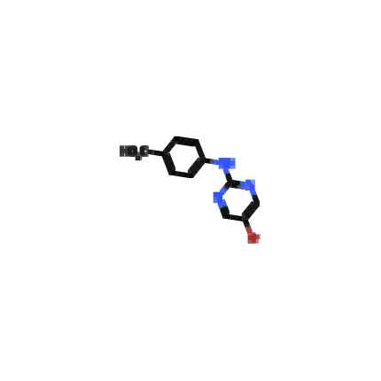 O=C(O)c1ccc(Nc2ncc(Br)cn2)cc1